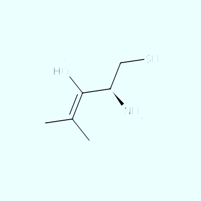 CC(C)=C(O)[C@H](N)CS